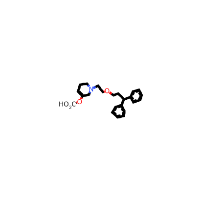 O=C(O)OC1=CCCN(CCOCCC(c2ccccc2)c2ccccc2)C1